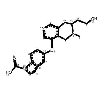 CN1Cc2c(cncc2Oc2ccc3c(ccn3C(=O)O)c2)CC1CCO